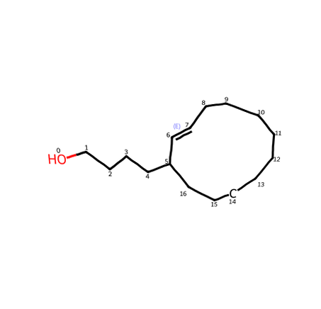 OCCCCC1/C=C/CCCCCCCCC1